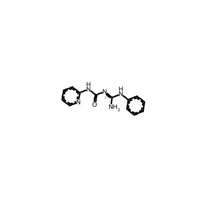 N/C(=N\C(=O)Nc1ccccn1)Nc1ccccc1